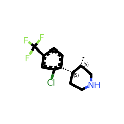 C[C@@H]1CNCC[C@@H]1c1ccc(C(F)(F)F)cc1Cl